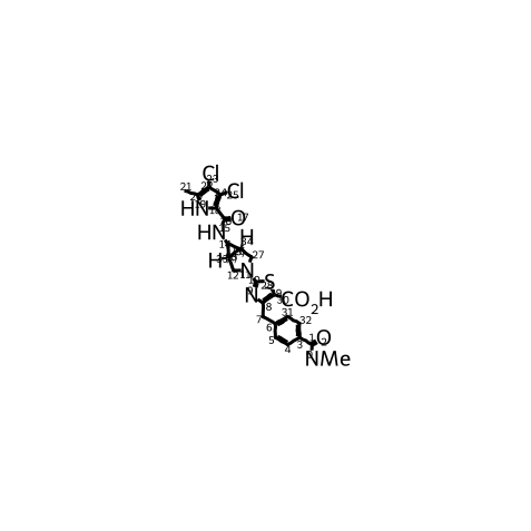 CNC(=O)c1ccc(Cc2nc(N3C[C@@H]4C(NC(=O)c5[nH]c(C)c(Cl)c5Cl)[C@@H]4C3)sc2C(=O)O)cc1